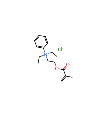 C=C(C)C(=O)OCC[N+](CC)(CC)c1ccccc1.[Cl-]